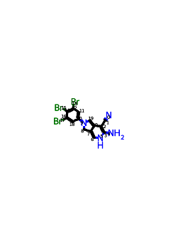 N#CC1=C(N)NC=C2CN(c3cc(Br)c(Br)c(Br)c3)C=C21